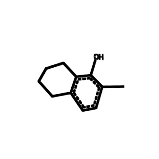 Cc1ccc2c(c1O)CCCC2